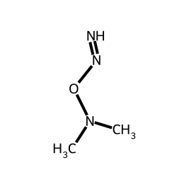 CN(C)ON=N